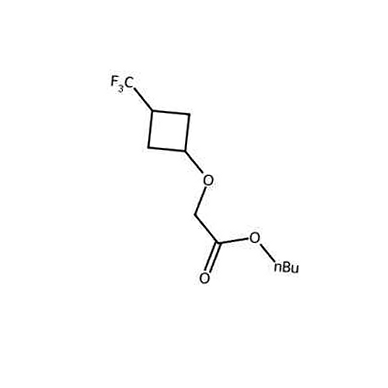 CCCCOC(=O)COC1CC(C(F)(F)F)C1